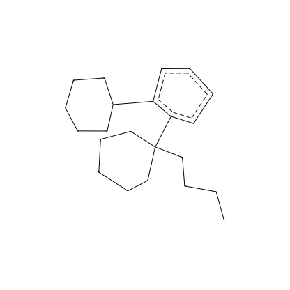 CCCCC1(c2ccccc2C2CCCCC2)CCCCC1